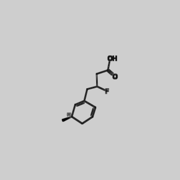 C[C@H]1C=C(CC(F)CC(=O)O)C=CC1